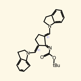 CC(C)(C)OC(=O)N=C1/C(=C/N2CCc3ccccc32)CC/C1=C\N1CCc2ccccc21